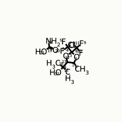 CC1OC(C(F)(F)Cl)(C(F)(F)Cl)OC1C(C)(C)O.NC(=O)O